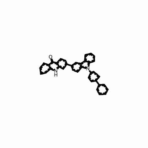 O=c1c2ccccc2[nH]c2cc(-c3ccc4c(c3)c3ccccc3n4-c3ccc(-c4ccccc4)cc3)ccc12